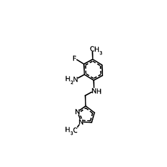 Cc1ccc(NCc2ccn(C)n2)c(N)c1F